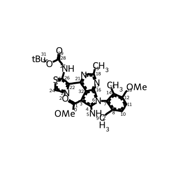 COC(=O)c1c(N)n(-c2c(C)ccc(OC)c2C)c2nc(C)nc(-c3ncsc3NC(=O)OC(C)(C)C)c12